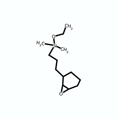 CCO[Si](C)(C)CCCC1CCCC2OC12